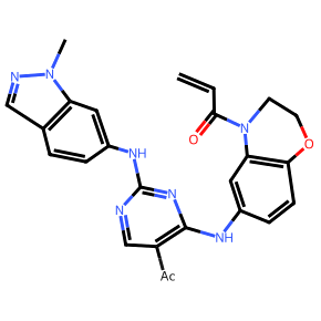 C=CC(=O)N1CCOc2ccc(Nc3nc(Nc4ccc5cnn(C)c5c4)ncc3C(C)=O)cc21